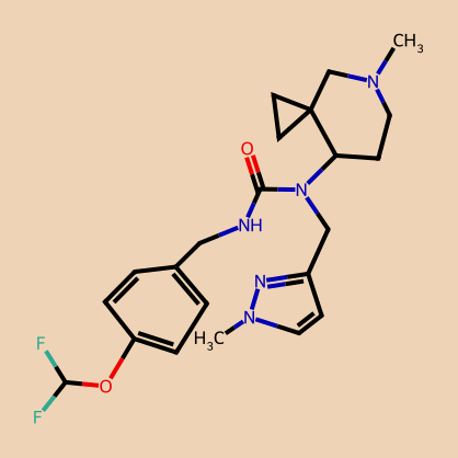 CN1CCC(N(Cc2ccn(C)n2)C(=O)NCc2ccc(OC(F)F)cc2)C2(CC2)C1